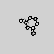 c1ccc(-c2cccc(-c3cccc(-c4nc(-c5cccc(-c6cccc7c6oc6ccccc67)c5)nc5c4oc4ccccc45)c3)c2)cc1